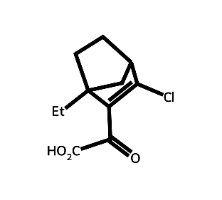 CCC12CCC(C1)C(Cl)=C2C(=O)C(=O)O